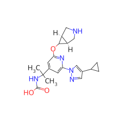 CC(C)(NC(=O)O)c1cc(OC2[C@H]3CNC[C@@H]23)nc(-n2cc(C3CC3)cn2)c1